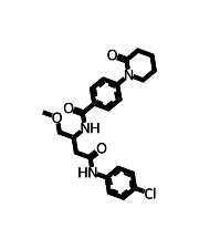 COCC(CC(=O)Nc1ccc(Cl)cc1)NC(=O)c1ccc(N2CCCCC2=O)cc1